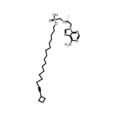 C[C@H](Cn1cnc2c(N)ncnc21)OCP(=O)(O)OCCCCCCCCCCCCCCCC#CC1CCC1